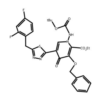 CCOC(=O)c1c(OCc2ccccc2)c(=O)c(-c2nnc(Cc3ccc(F)cc3F)s2)cn1NC(=O)OC(C)(C)C